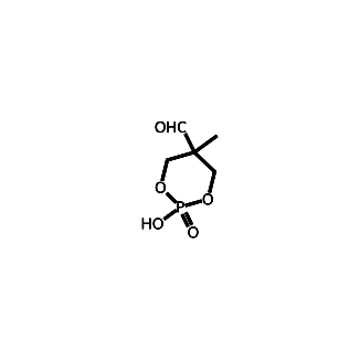 CC1(C=O)COP(=O)(O)OC1